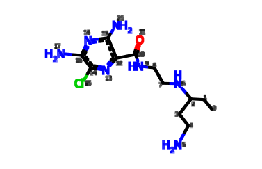 CCC(CCN)NCCNC(=O)c1nc(Cl)c(N)nc1N